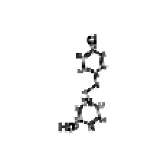 OC1=CN(CCc2ccc(Cl)cc2)CC=C1